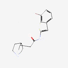 Cl.O=C(CC1CN2CCC1CC2)Nc1cc2cccc(Br)c2s1